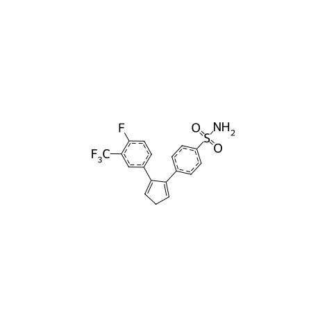 NS(=O)(=O)c1ccc(C2=CCC=C2c2ccc(F)c(C(F)(F)F)c2)cc1